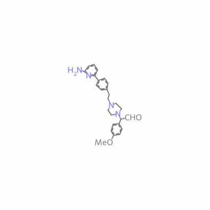 COc1ccc(C(C=O)N2CCN(CCc3ccc(-c4cccc(N)n4)cc3)CC2)cc1